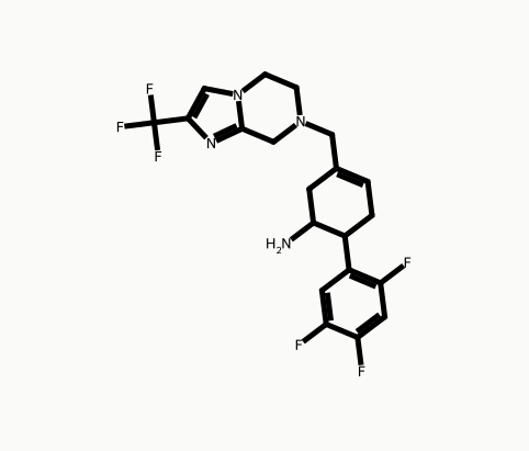 NC1CC(CN2CCn3cc(C(F)(F)F)nc3C2)=CCC1c1cc(F)c(F)cc1F